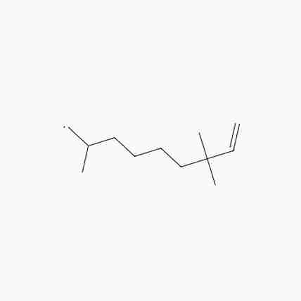 [CH2]C(C)CCCCC(C)(C)C=C